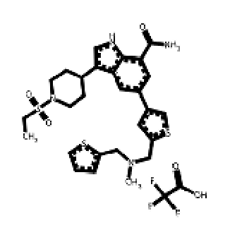 CCS(=O)(=O)N1CCC(c2c[nH]c3c(C(N)=O)cc(-c4csc(CN(C)Cc5cccs5)c4)cc23)CC1.O=C(O)C(F)(F)F